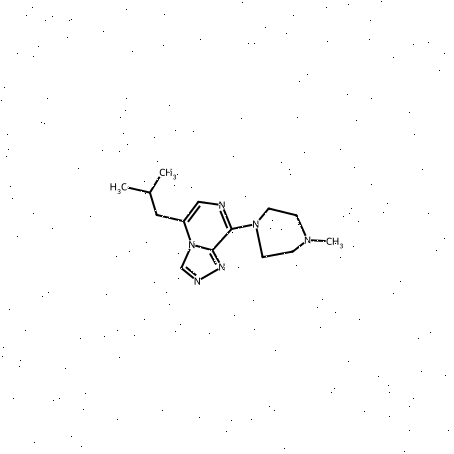 CC(C)Cc1cnc(N2CCN(C)CC2)c2nncn12